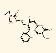 COC1C=C2C(=CN(C)C(CCNC(=O)C3(N)CC3)=C2c2ccccc2)CC1=O